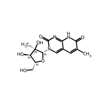 Cc1cc2cn([C@@H]3O[C@H](CO)[C@@H](O)[C@@]3(C)O)c(=O)nc2[nH]c1=O